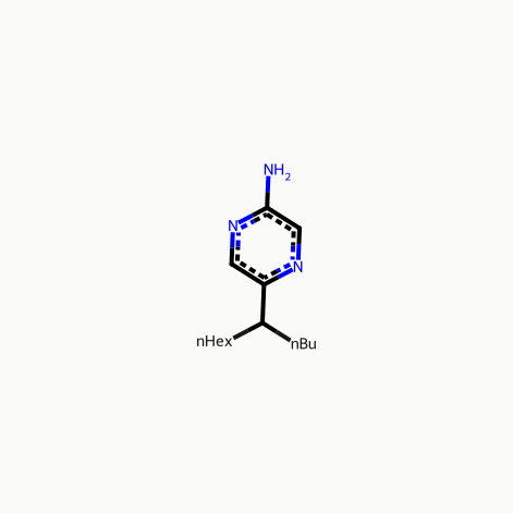 CCCCCCC(CCCC)c1cnc(N)cn1